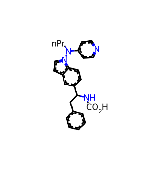 CCCN(c1ccncc1)n1ccc2cc(C(Cc3ccccc3)NC(=O)O)ccc21